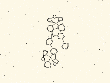 c1ccc(-c2cccc(N(c3cccc(-c4ccc5c(c4)C4(c6ccccc6Oc6ccccc64)c4ccccc4-5)c3)c3cccc4c3-c3ccccc3C43c4ccccc4Oc4ccccc43)c2)cc1